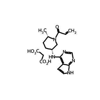 C=CC(=O)N1C[C@H](Nc2ncnc3[nH]ccc23)CC[C@@H]1C.O=C(O)CC(=O)O